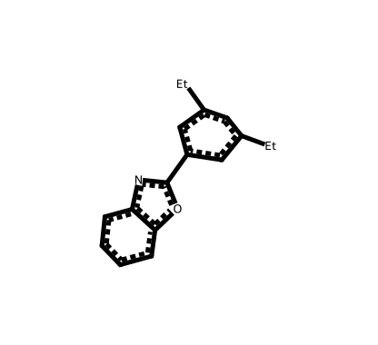 CCc1cc(CC)cc(-c2nc3ccccc3o2)c1